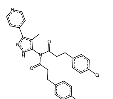 Cc1c(-c2ccncc2)n[nH]c1N(C(=O)CCc1ccc(Cl)cc1)C(=O)CCc1ccc(Cl)cc1